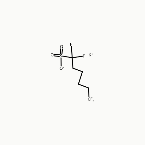 O=S(=O)([O-])C(F)(F)CCCCC(F)(F)F.[K+]